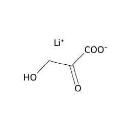 O=C([O-])C(=O)CO.[Li+]